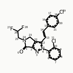 O=C1c2nn(-c3ccccc3Cl)c(C=Cc3ccc(Cl)cc3)c2CN1CC(F)F